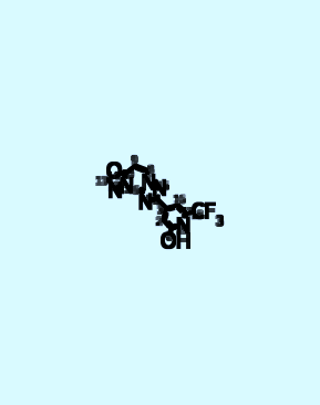 Oc1cc(-c2ncn(/C=C\c3nnco3)n2)cc(C(F)(F)F)n1